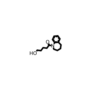 O=C(CCCCO)N1CCCCc2ccccc21